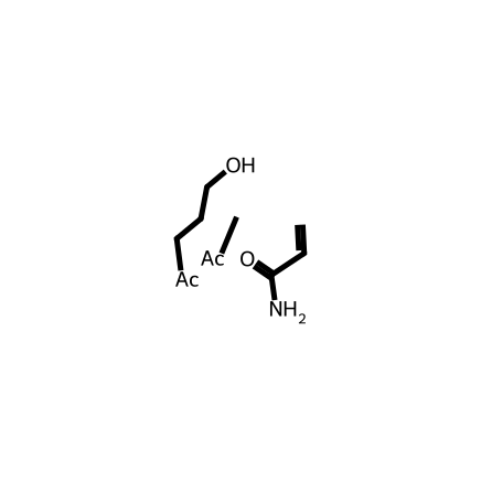 C=CC(N)=O.CC(=O)CCCO.CC(C)=O